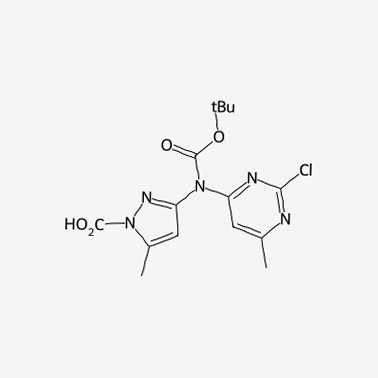 Cc1cc(N(C(=O)OC(C)(C)C)c2cc(C)n(C(=O)O)n2)nc(Cl)n1